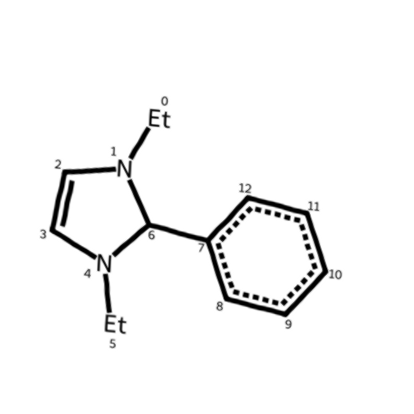 CCN1C=CN(CC)C1c1ccccc1